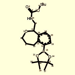 CC(C)(C)OC(=O)NCC1OCCCc2c(B3OC(C)(C)C(C)(C)O3)cccc21